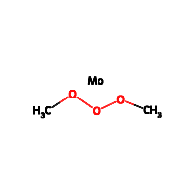 COOOC.[Mo]